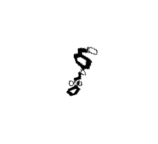 O=Cc1ccc(OCCCS(=O)(=O)c2ccccc2)cc1